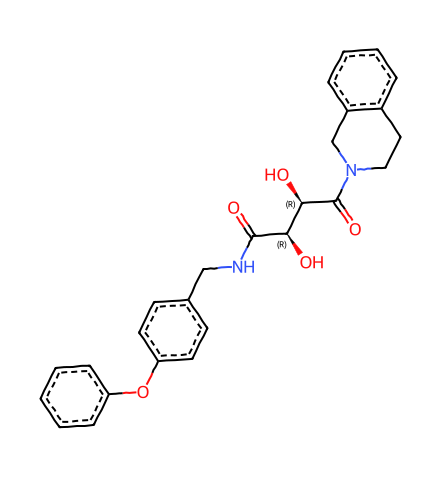 O=C(NCc1ccc(Oc2ccccc2)cc1)[C@H](O)[C@@H](O)C(=O)N1CCc2ccccc2C1